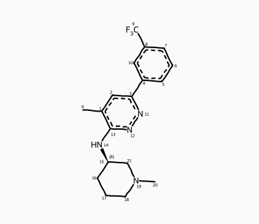 Cc1cc(-c2cccc(C(F)(F)F)c2)nnc1N[C@@H]1CCCN(C)C1